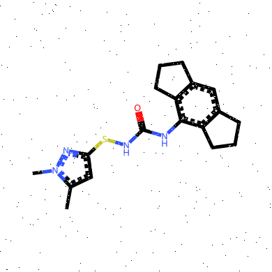 Cc1cc(SNC(=O)Nc2c3c(cc4c2CCC4)CCC3)nn1C